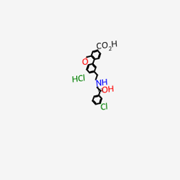 Cl.O=C(O)c1ccc2c(c1)COc1ccc(CCNC[C@@H](O)c3cccc(Cl)c3)cc1-2